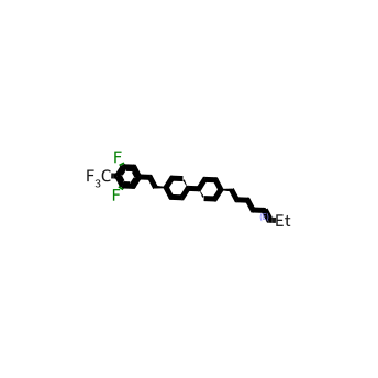 CC/C=C/CCCC[C@H]1CC[C@H]([C@H]2CC[C@H](CCc3cc(F)c(C(F)(F)F)c(F)c3)CC2)CC1